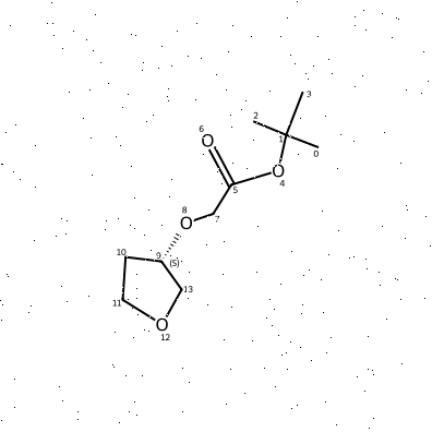 CC(C)(C)OC(=O)CO[C@H]1CCOC1